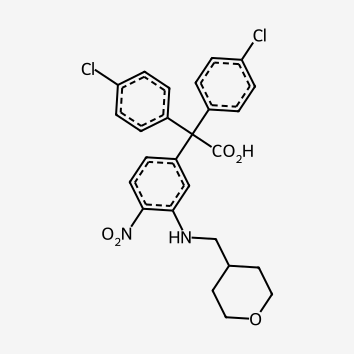 O=C(O)C(c1ccc(Cl)cc1)(c1ccc(Cl)cc1)c1ccc([N+](=O)[O-])c(NCC2CCOCC2)c1